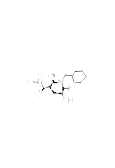 CCc1c(C)cc(C(=O)NC(C)C)c(=O)n1CC1CCCCC1